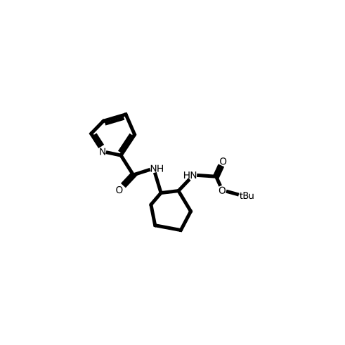 CC(C)(C)OC(=O)NC1CCCCC1NC(=O)c1ccccn1